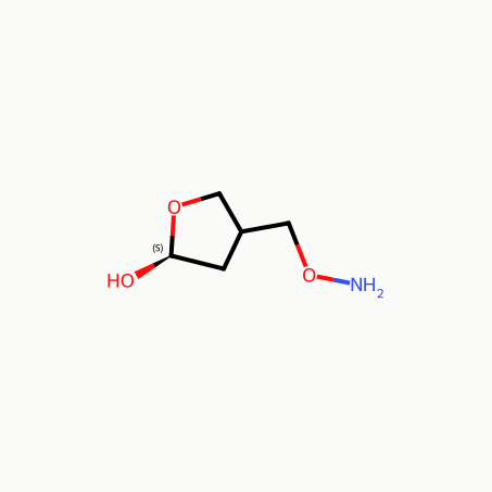 NOCC1CO[C@H](O)C1